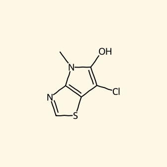 Cn1c(O)c(Cl)c2scnc21